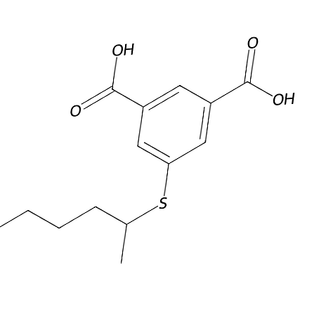 CCCCC(C)Sc1cc(C(=O)O)cc(C(=O)O)c1